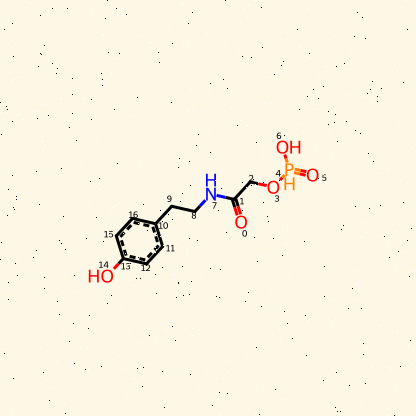 O=C(CO[PH](=O)O)NCCc1ccc(O)cc1